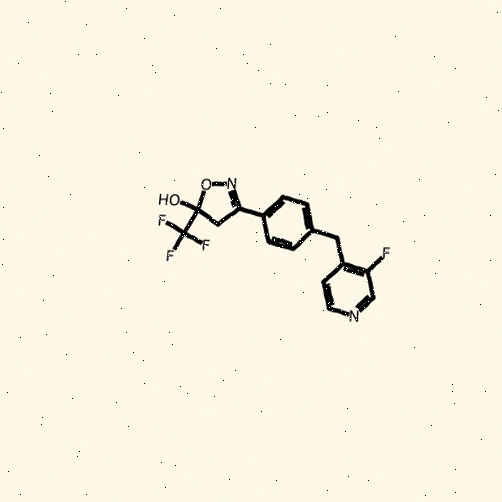 OC1(C(F)(F)F)CC(c2ccc(Cc3ccncc3F)cc2)=NO1